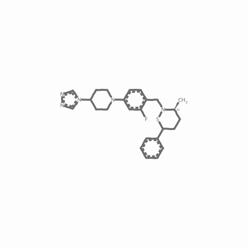 C[C@H]1CCC(c2ccccc2)SN1Cc1ccc(N2CCC(n3cnnc3)CC2)cc1F